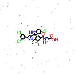 CC(c1ccc(C(=O)NCCC(=O)O)cc1)n1nc(-c2cc(Cl)cc(Cl)c2)cc1C1=CC2C=C(Cl)C=CC2N1